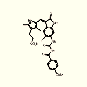 COc1ccc(C(=O)NC(=O)Nc2cc3c(cc2F)C(=Cc2[nH]c(C)c(CCC(=O)O)c2C)C(=O)N3)cc1